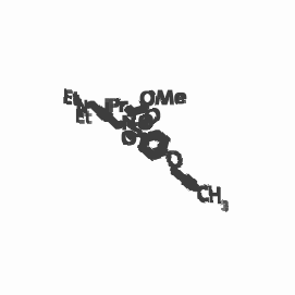 CC#CCOc1ccc(S(=O)(=O)N(CC#CCN(CC)CC)C(C(=O)OC)C(C)C)cc1